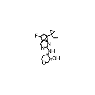 C=CC1(c2cc(F)c3cnc(N[C@@H]4CCOC[C@H]4O)nn23)CC1